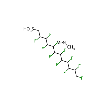 CNC.O=S(=O)(O)CC(F)C(F)C(F)C(F)C(F)C(F)C(F)C(F)C(F)C(F)CF